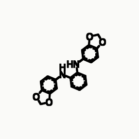 c1ccc(Nc2ccc3c(c2)OCO3)c(Nc2ccc3c(c2)OCO3)c1